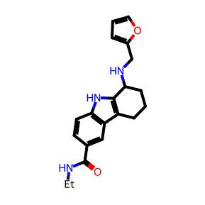 CCNC(=O)c1ccc2[nH]c3c(c2c1)CCCC3NCc1ccco1